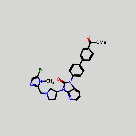 COC(=O)c1ccc(-c2ccc(-n3c(=O)n([C@H]4CCN(Cc5ncc(Br)n5C)C4)c4ncccc43)cc2)cc1